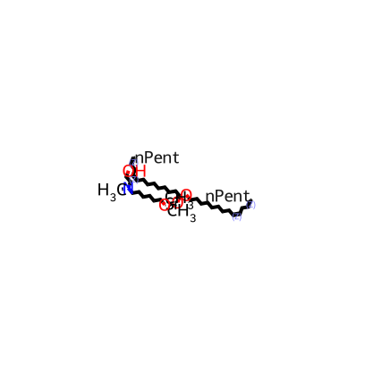 CCCCC/C=C\C/C=C\CCCCCCCCOC(CCCCCCC/C=C\C/C=C\CCCCC)O[Si](C)(C)OCCCCCCN(C)CCO